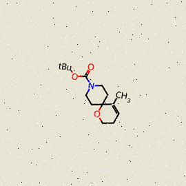 CC1=CCCOC12CCN(C(=O)OC(C)(C)C)CC2